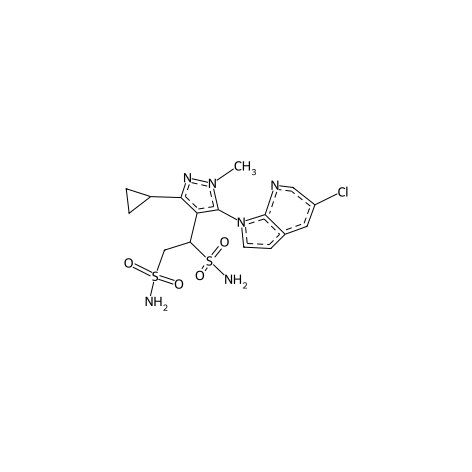 Cn1nc(C2CC2)c(C(CS(N)(=O)=O)S(N)(=O)=O)c1-n1ccc2cc(Cl)cnc21